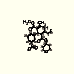 COC(=O)C1=C(C)NC(CF)=C(C(=O)OC2CCOCC2)C1c1cccc([N+](=O)[O-])c1